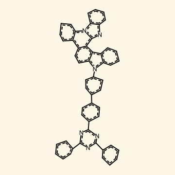 c1ccc(-c2nc(-c3ccccc3)nc(-c3ccc(-c4ccc(-n5c6ccccc6c6c7c(ccc65)c5ccccc5n5c6ccccc6nc75)cc4)cc3)n2)cc1